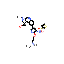 CN(C)CCCOc1ncc(-c2ccc3ncc4c(c3c2)C2(CC2=O)CN4C)cc1NS(=O)(=O)c1ccsc1